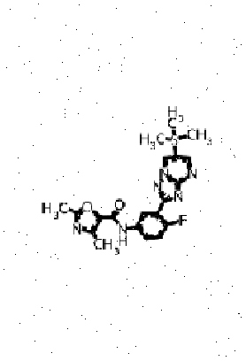 Cc1nc(C)c(C(=O)Nc2ccc(F)c(-c3nc4ncc(S(C)(C)C)cn4n3)c2)o1